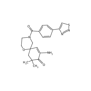 CC1(C)CC2(C=C(N)C1=O)CN(C(=O)c1ccc(-c3csnn3)cc1)CCO2